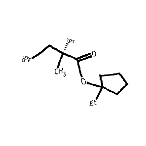 CCC1(OC(=O)[C@@](C)(CC(C)C)C(C)C)CCCC1